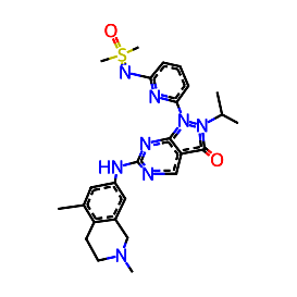 Cc1cc(Nc2ncc3c(=O)n(C(C)C)n(-c4cccc(N=S(C)(C)=O)n4)c3n2)cc2c1CCN(C)C2